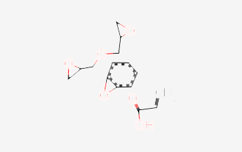 C(OCC1CO1)C1CO1.C=CC(=O)O.c1ccc2c(c1)O2